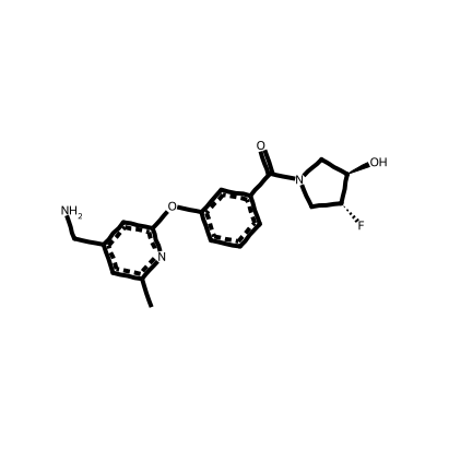 Cc1cc(CN)cc(Oc2cccc(C(=O)N3C[C@@H](O)[C@H](F)C3)c2)n1